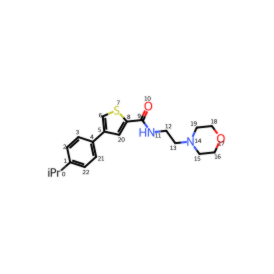 CC(C)c1ccc(-c2csc(C(=O)NCCN3CCOCC3)c2)cc1